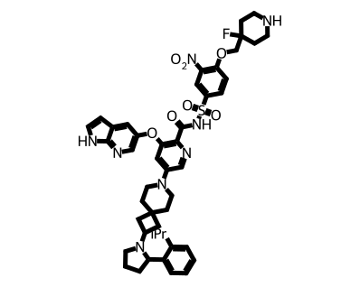 CC(C)c1ccccc1C1CCCN1C1CC2(CCN(c3cnc(C(=O)NS(=O)(=O)c4ccc(OCC5(F)CCNCC5)c([N+](=O)[O-])c4)c(Oc4cnc5[nH]ccc5c4)c3)CC2)C1